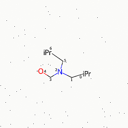 CC(C)CN(C[O])CC(C)C